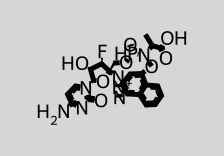 CC(C(=O)O)N(Oc1cccc2ccccc12)[PH](=O)OC[C@@]1(N=[N+]=[N-])O[C@@H](n2ccc(N)nc2=O)[C@H](O)[C@@H]1F